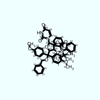 COc1ccc(C(OCc2ccccc2)(c2ccc(OC)cc2)C2OC(n3ccc(=O)[nH]c3=O)C(OC(C)=O)C2O[Si](c2ccccc2)(c2ccccc2)C(C)(C)C)cc1